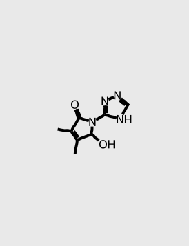 CC1=C(C)C(O)N(c2nnc[nH]2)C1=O